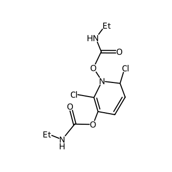 CCNC(=O)OC1=C(Cl)N(OC(=O)NCC)C(Cl)C=C1